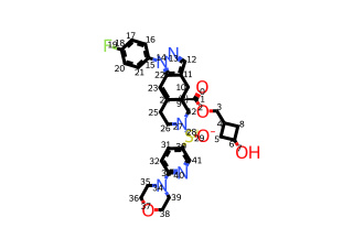 O=C(OCC1CC(O)C1)[C@]12Cc3cnn(-c4ccc(F)cc4)c3C=C1CCN([S+]([O-])c1ccc(N3CCOCC3)nc1)C2